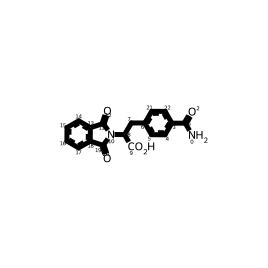 NC(=O)c1ccc(CC(C(=O)O)N2C(=O)c3ccccc3C2=O)cc1